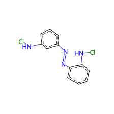 ClNc1cccc(N=Nc2ccccc2NCl)c1